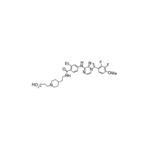 CCc1cc(Nc2nccn3c(-c4ccc(OC)c(F)c4F)cnc23)ccc1C(=O)NCCC1CCN(CCC(=O)O)CC1